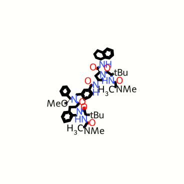 CNC(C)C(=O)NC(C(=O)N1Cc2ccccc2CC1C(=O)N(Cc1cccc(C(=O)N[C@H]2C[C@@H](C(=O)N[C@@H]3CCCc4ccccc43)N(C(=O)C(NC(=O)C(C)NC)C(C)(C)C)C2)c1)[C@H](COC)c1ccccc1)C(C)(C)C